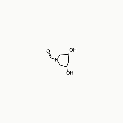 O=CN1C[C@H](O)C[C@H](O)C1